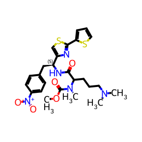 COC(=O)N(C)C(CCCN(C)C)C(=O)N[C@@H](Cc1ccc([N+](=O)[O-])cc1)c1csc(-c2cccs2)n1